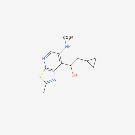 Cc1nc2c(C(O)CC3CC3)c(NC(=O)O)cnc2s1